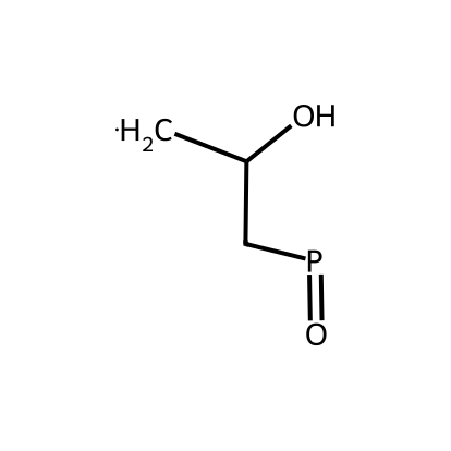 [CH2]C(O)CP=O